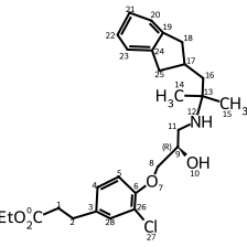 CCOC(=O)CCc1ccc(OC[C@H](O)CNC(C)(C)CC2Cc3ccccc3C2)c(Cl)c1